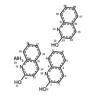 Oc1ccc2ccccc2n1.Oc1ccc2ccccc2n1.Oc1ccc2ccccc2n1.[AlH3]